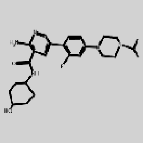 CC(C)N1CCN(c2ccc(-c3cnc(N)c(C(=O)NC4CCC(O)CC4)c3)c(F)c2)CC1